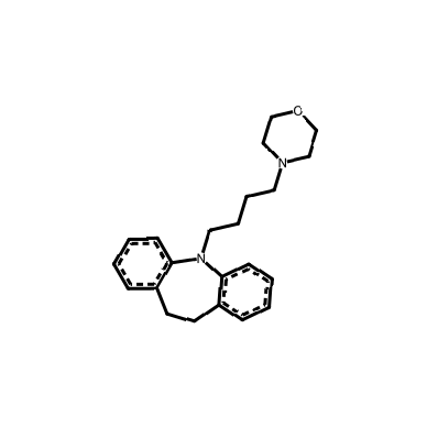 c1ccc2c(c1)CCc1ccccc1N2CCCCN1CCOCC1